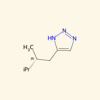 CC(C)[C@H](C)Cc1cnn[nH]1